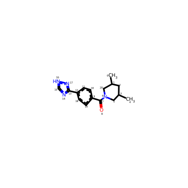 CC1CC(C)CN(C(=O)c2ccc(-c3nc[nH]n3)cc2)C1